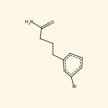 NC(=O)CC[CH]c1cccc(Br)c1